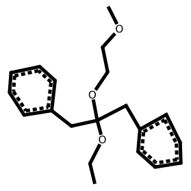 CCOC(Cc1ccccc1)(Cc1ccccc1)OCCOC